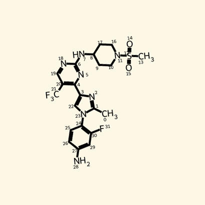 Cc1nc(-c2nc(NC3CCN(S(C)(=O)=O)CC3)ncc2C(F)(F)F)cn1-c1ccc(N)cc1F